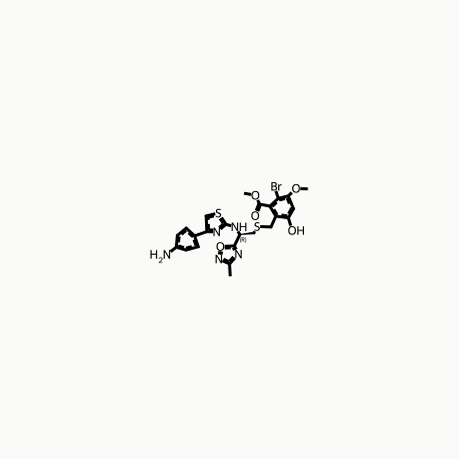 COC(=O)c1c(Br)c(OC)cc(O)c1CSC[C@H](Nc1nc(-c2ccc(N)cc2)cs1)c1nc(C)no1